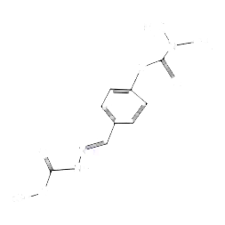 CN(C)C(=O)Oc1ccc(/C=N/NC(=O)OC(C)(C)C)cc1